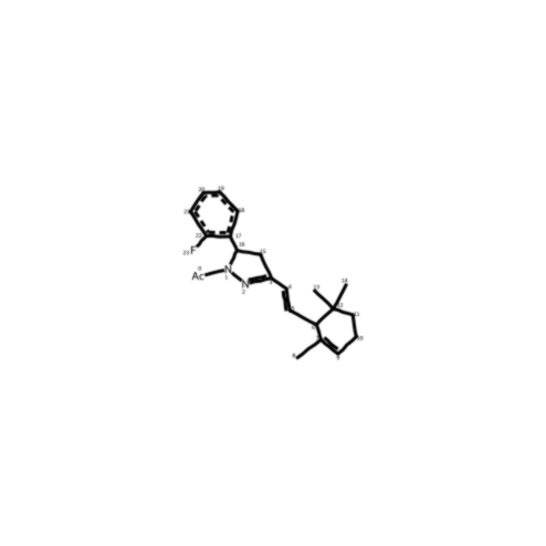 CC(=O)N1N=C(/C=C/C2C(C)=CCCC2(C)C)CC1c1ccccc1F